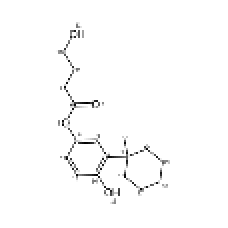 CC1(c2cc(OC(=O)CCCO)ccc2O)CCCCC1